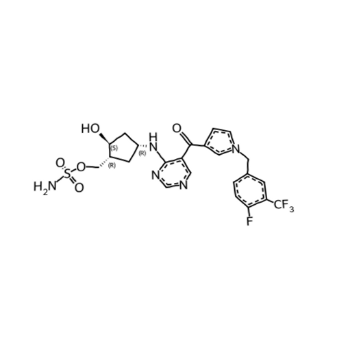 NS(=O)(=O)OC[C@H]1C[C@@H](Nc2ncncc2C(=O)c2ccn(Cc3ccc(F)c(C(F)(F)F)c3)c2)C[C@@H]1O